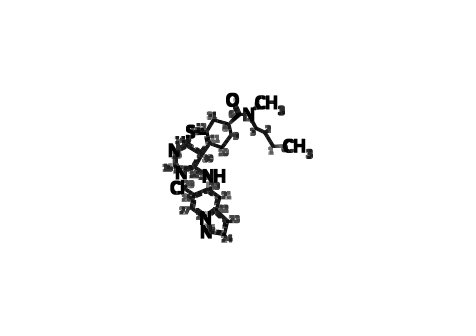 CCCCN(C)C(=O)[C@H]1CCc2c(sc3ncnc(Nc4cc5ccnn5cc4Cl)c23)C1